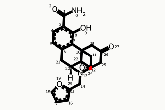 NC(=O)c1ccc2c(c1O)C13CCN(Cc4ccco4)[C@H](C2)[C@]1(O)CCC(=O)C3